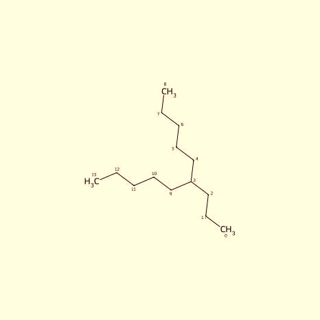 C[CH]CC(CCCCC)CCCCC